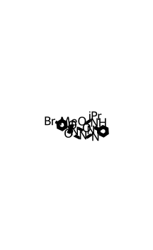 COC(=O)[C@@H](Nc1nc(CN2CCN(S(=O)(=O)c3ccc(Br)cc3)CC2)nc2ccccc12)C(C)C